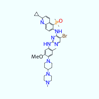 COc1cc(Nc2ncc(Br)c(Nc3ccc4nc(C5CC5)ccc4c3P(C)(C)=O)n2)c(C)cc1N1CCC(N2CCN(C)CC2)CC1